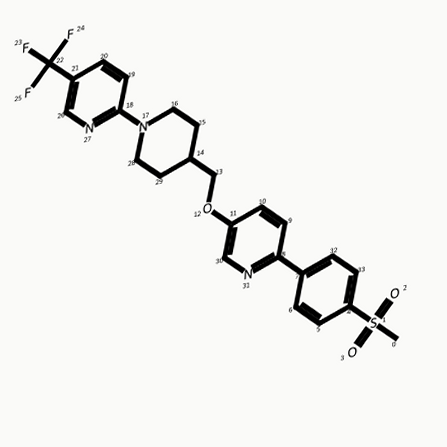 CS(=O)(=O)c1ccc(-c2ccc(OCC3CCN(c4ccc(C(F)(F)F)cn4)CC3)cn2)cc1